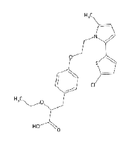 CCOC(Cc1ccc(OCCn2c(C)ccc2-c2ccc(Cl)s2)cc1)C(=O)O